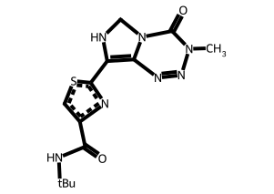 CN1N=NC2=C(c3nc(C(=O)NC(C)(C)C)cs3)NCN2C1=O